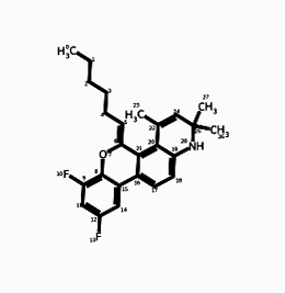 CCCCCC=C1Oc2c(F)cc(F)cc2-c2ccc3c(c21)C(C)=CC(C)(C)N3